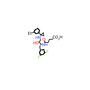 CCc1cccc(C2(NC[C@H](O)[C@H](Cc3cc(F)cc(F)c3)NC(=O)CCCC(=O)O)CC2)c1